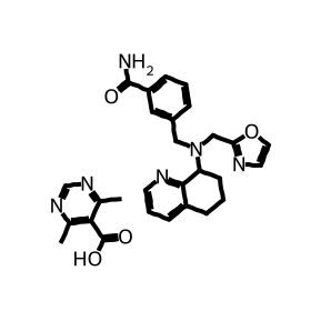 Cc1ncnc(C)c1C(=O)O.NC(=O)c1cccc(CN(Cc2ncco2)C2CCCc3cccnc32)c1